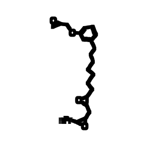 CCCC1OC1CC1OC1CCCCCCCc1cccc(OCC2CO2)c1